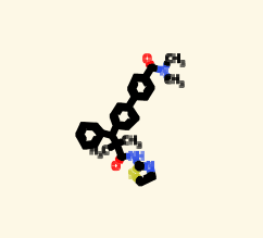 CN(C)C(=O)c1ccc(-c2ccc(C(c3ccccc3)C(C)(C)C(=O)Nc3nccs3)cc2)cc1